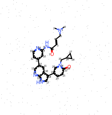 CN(C)C/C=C/C(=O)Nc1cc(-c2cnc3[nH]cc(-c4ccc(=O)n(CC5CC5)c4)c3c2)ccn1